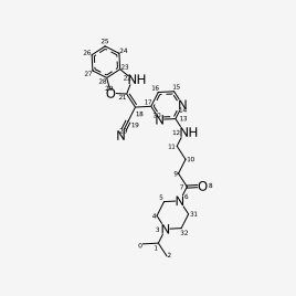 CC(C)N1CCN(C(=O)CCCNc2nccc(/C(C#N)=C3\Nc4ccccc4O3)n2)CC1